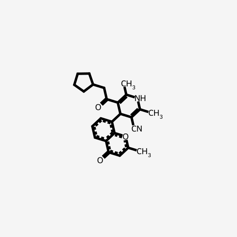 CC1=C(C#N)C(c2cccc3c(=O)cc(C)oc23)C(C(=O)CC2CCCC2)=C(C)N1